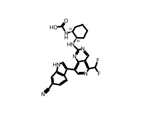 N#Cc1ccc2c(-c3cnc(C(F)F)c4cnc(N[C@@H]5CCCC[C@@H]5NC(=O)O)nc34)c[nH]c2c1